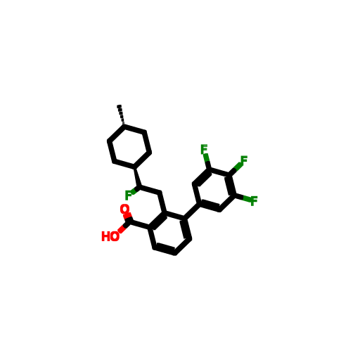 C[C@H]1CC[C@H](C(F)Cc2c(C(=O)O)cccc2-c2cc(F)c(F)c(F)c2)CC1